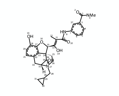 CNC(=O)c1cccc(NC(=O)/C(C)=C(\O)[C@@H]2Oc3c(O)ccc4c3[C@@]23CCN(CC2CC2)[C@H](C4)[C@@]3(C)O)c1